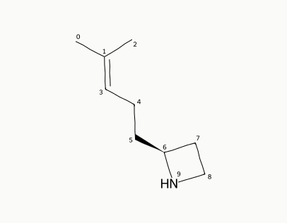 CC(C)=CCC[C@H]1CCN1